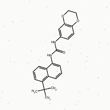 CC(C)(C)c1cccc2c(NC(=O)Nc3ccc4c(c3)OCCO4)cccc12